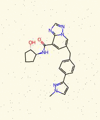 Cn1ccc(-c2ccc(Cc3cc(C(=O)N[C@H]4CCC[C@@H]4O)c4ncnn4c3)cc2)n1